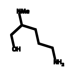 CNC(CO)CCCN